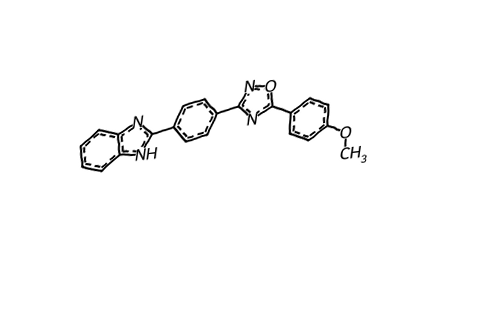 COc1ccc(-c2nc(-c3ccc(-c4nc5ccccc5[nH]4)cc3)no2)cc1